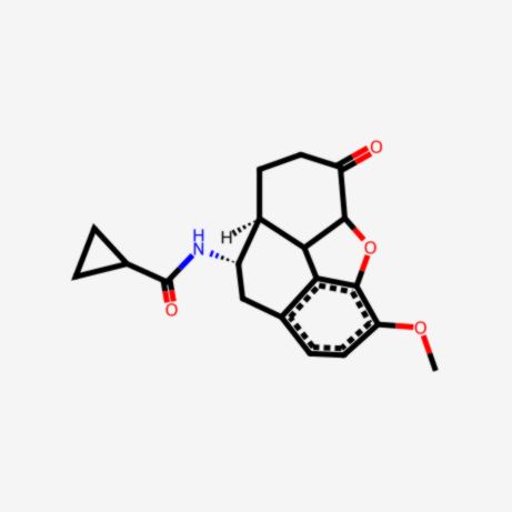 COc1ccc2c3c1OC1C(=O)CC[C@@H](C31)[C@@H](NC(=O)C1CC1)C2